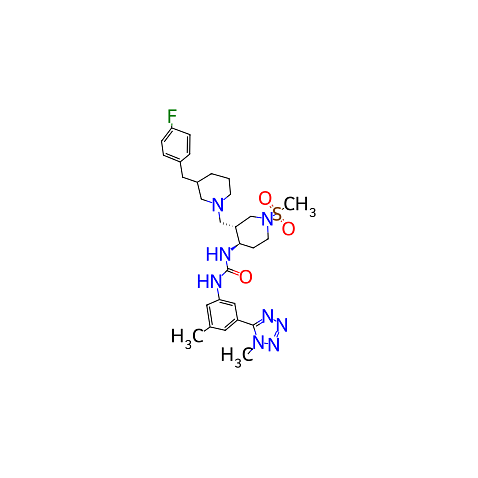 Cc1cc(NC(=O)N[C@@H]2CCN(S(C)(=O)=O)C[C@H]2CN2CCCC(Cc3ccc(F)cc3)C2)cc(-c2nnnn2C)c1